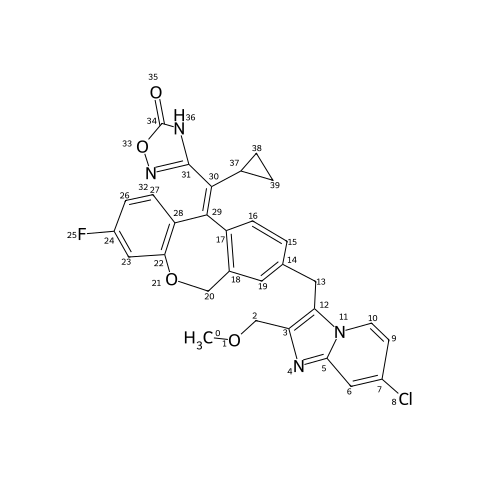 COCc1nc2cc(Cl)ccn2c1Cc1ccc2c(c1)COc1cc(F)ccc1C2=C(c1noc(=O)[nH]1)C1CC1